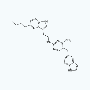 CCCCc1ccc2[nH]cc(CCNc3ncc(Cc4ccc5[nH]ccc5c4)c(N)n3)c2c1